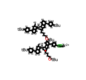 CC1=Cc2c(-c3ccc(C(C)(C)C)cc3)cccc2C1[Si](C)(CCCCCCOC(C)(C)C)C1C(C)=Cc2c(-c3ccc(C(C)(C)C)cc3)cccc21.CC1=Cc2c(-c3ccc(C(C)(C)C)cc3)cccc2C1[Si](C)(CCCCCCOC(C)(C)C)C1C(C)=Cc2c(-c3ccc(C(C)(C)C)cc3)cccc21.[Cl-].[Cl-].[Zr+2]